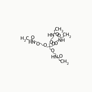 C=CC(=O)NCCOCC(COCCNC(=O)C=C)(COCCOCNC(=O)C=C)COOCNC(=O)C=C